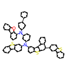 c1ccc(-c2ccc(N(c3cccc(N(c4ccc5c(c4)sc4ccccc45)c4ccc5sc6cc(-c7ccc8sc9ccccc9c8c7)c7ccccc7c6c5c4)c3)c3cccc4c3oc3ccccc34)cc2)cc1